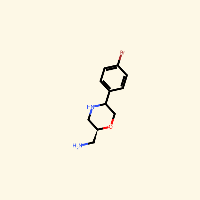 NC[C@H]1CNC(c2ccc(Br)cc2)CO1